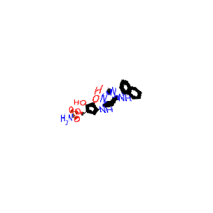 NS(=O)(=O)OC[C@H]1C[C@@H](Nc2cc(Nc3cccc4c3CCCC4)ncn2)[C@H](O)[C@@H]1O